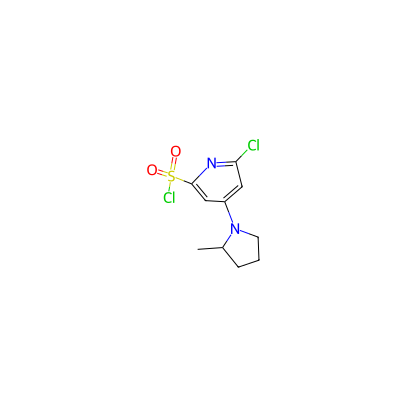 CC1CCCN1c1cc(Cl)nc(S(=O)(=O)Cl)c1